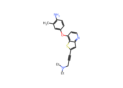 CCN(CC)CC#Cc1cc2nccc(Oc3ccc(N)c(C)c3)c2s1